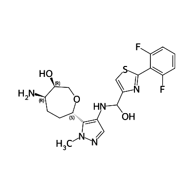 Cn1ncc(NC(O)c2csc(-c3c(F)cccc3F)n2)c1[C@@H]1CC[C@@H](N)[C@@H](O)CO1